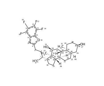 CC(CCc1nc2c(F)c(F)c(F)c(F)c2o1)[C@H]1CC[C@H]2[C@@H]3CC[C@@H]4C[C@H](O)CC[C@]4(C)[C@H]3C[C@H](O)[C@]12C